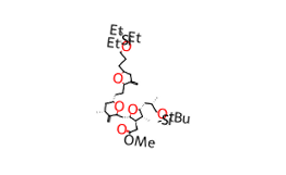 C=C1CC(CCCO[Si](CC)(CC)CC)OC1CC[C@H]1C[C@@H](C)C(=C)C(C[C@@H]2O[C@H](C[C@H](C)CO[Si](C)(C)C(C)(C)C)[C@H](C)[C@H]2CC(=O)OC)O1